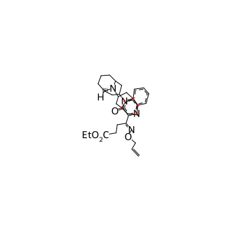 C=CCON=C(CCC(=O)OCC)c1nc2ccccc2n(C2CC3CCC[C@@H](C2)N3C2CC3CCCC(C3)C2)c1=O